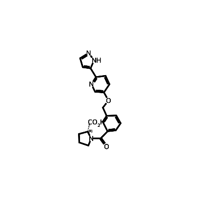 O=C(O)[C@H]1CCCN1C(=O)c1cccc(COc2ccc(-c3ccn[nH]3)nc2)c1